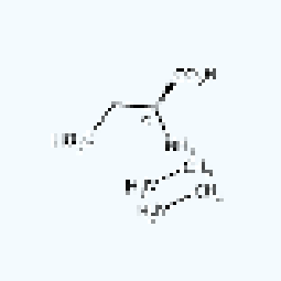 CN.CN.N[C@@H](CC(=O)O)C(=O)O